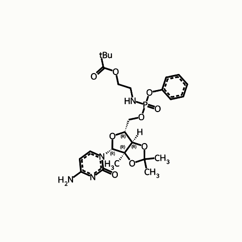 CC1(C)O[C@@H]2[C@@H](COP(=O)(NCCOC(=O)C(C)(C)C)Oc3ccccc3)O[C@@H](n3ccc(N)nc3=O)[C@]2(C)O1